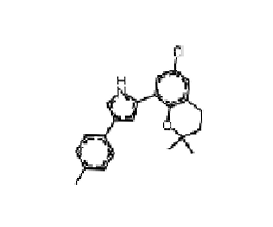 Cc1ccc(-c2c[nH]c(-c3cc(Cl)cc4c3OC(C)(C)CC4)c2)cc1